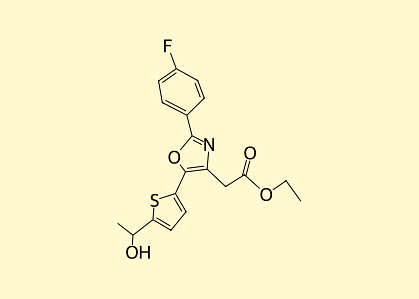 CCOC(=O)Cc1nc(-c2ccc(F)cc2)oc1-c1ccc(C(C)O)s1